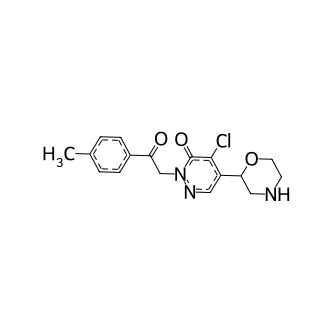 Cc1ccc(C(=O)Cn2ncc(C3CNCCO3)c(Cl)c2=O)cc1